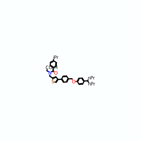 CCCC(CCC)c1ccc(OCc2ccc(-c3csc(CN(CC(=O)O)C(=O)c4ccc(C(C)C)cc4)c3)cc2)cc1